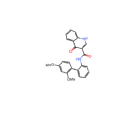 COc1ccc(-c2ccccc2NC(=O)c2c[nH]c3ccccc3c2=O)c(OC)c1